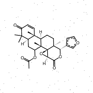 CC(=O)OC1C[C@H]2C(C)(C)C(=O)C=C[C@]2(C)[C@H]2CC[C@@]3(C)[C@H](c4ccoc4)OC(=O)[C@H]4O[C@]43[C@]12C